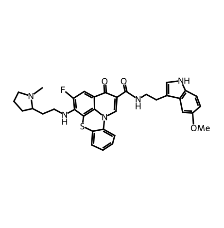 COc1ccc2[nH]cc(CCNC(=O)c3cn4c5c(c(NCCC6CCCN6C)c(F)cc5c3=O)Sc3ccccc3-4)c2c1